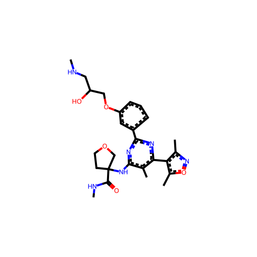 CNCC(O)COc1cccc(-c2nc(NC3(C(=O)NC)CCOC3)c(C)c(-c3c(C)noc3C)n2)c1